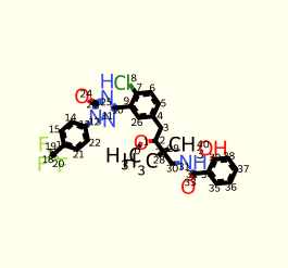 COC(Cc1ccc(Cl)c(-c2nn(-c3ccc(C(F)(F)F)cc3)c(=O)[nH]2)c1)C(C)(C)CNC(=O)c1ccccc1O